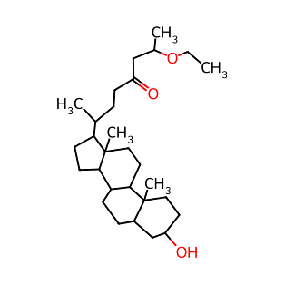 CCOC(C)CC(=O)CCC(C)C1CCC2C3CCC4CC(O)CCC4(C)C3CCC12C